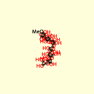 CO[C@H]1O[C@H](CO)[C@@H](O[C@H]2O[C@H](CO)[C@@H](O[C@H]3OC[C@@H](O[C@@H]4C[C@@H](O)[C@H](O[C@H]5O[C@H](CO)[C@@H](O[C@@H]6C[C@@H](O)[C@H](O[C@@H]7C[C@@H](O)C[C@@H](CO)O7)[C@@H](CO)O6)[C@H](O)[C@H]5O)[C@@H](CO)O4)[C@H](O)[C@H]3O)[C@H](O)[C@H]2O)[C@H](O)[C@H]1O